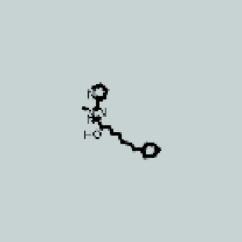 Cn1nc(C(O)CCCCCCc2ccccc2)nc1-c1ccccn1